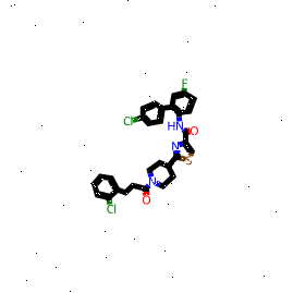 O=C(Nc1ccc(F)cc1-c1ccc(Cl)cc1)c1csc(C2CCN(C(=O)CCc3ccccc3Cl)CC2)n1